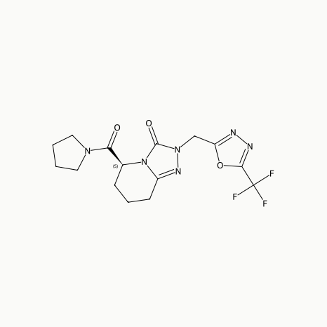 O=C([C@@H]1CCCc2nn(Cc3nnc(C(F)(F)F)o3)c(=O)n21)N1CCCC1